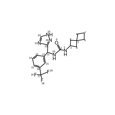 O=C(NC1CC2(CCC2)C1)NC(c1cccc(C(F)(F)F)c1)c1nc[nH]n1